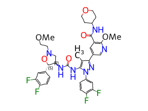 COCCN1C[C@@H](NC(=O)Nc2c(C)c(-c3cnc(OC)c(C(=O)NC4CCOCC4)c3)nn2-c2ccc(F)c(F)c2)[C@H](c2ccc(F)c(F)c2)O1